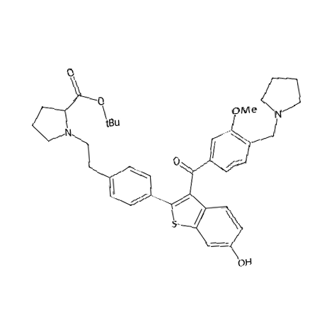 COc1cc(C(=O)c2c(-c3ccc(CCN4CCCC4C(=O)OC(C)(C)C)cc3)sc3cc(O)ccc23)ccc1CN1CCCC1